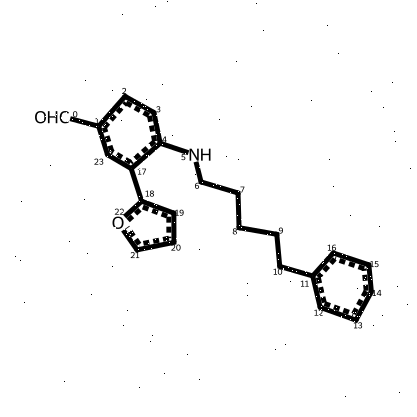 O=Cc1ccc(NCCCCCc2ccccc2)c(-c2ccco2)c1